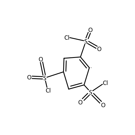 O=S(=O)(Cl)c1[c]c(S(=O)(=O)Cl)cc(S(=O)(=O)Cl)c1